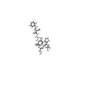 CCOC(=O)CNC(=O)[C@H](CCCCNC(=O)OCc1ccccc1)NC(=O)[C@@H]1CCCN1C(=O)OC(C)(C)C